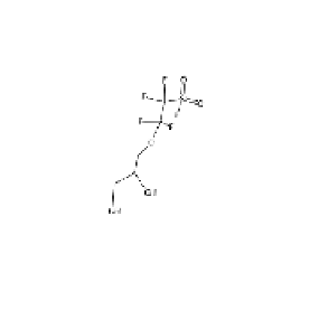 O=S(=O)(F)C(F)(F)C(F)(F)OCC(O)CO